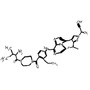 C#CC(C)n1cc(-c2cnc3c(Nc4ccc(C(=O)N5CCN(C(=O)C(N)C(C)C)CC5)c(CC)c4)nccn23)c(C(F)F)n1